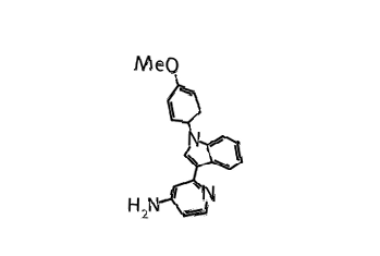 COC1=CCC(n2cc(-c3cc(N)ccn3)c3ccccc32)C=C1